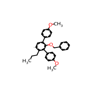 CCCc1[c]cc(-c2ccc(OC)cc2)c(OCc2ccccc2)c1-c1ccc(OC)cc1